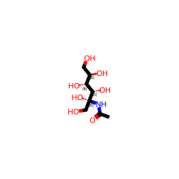 CC(=O)N[C@@](O)(CO)[C@@H](O)[C@H](O)[C@H](O)CO